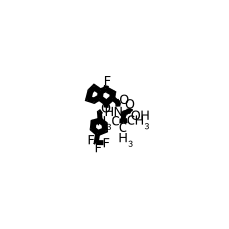 CC(C)(C)[C@H](NC(=O)c1cc(F)c2ccccc2c1OCc1ccc(C(F)(F)F)cc1)C(=O)O